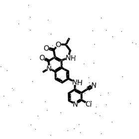 CC1CNc2c(c(=O)n(C)c3ccc(Nc4ccnc(Cl)c4C#N)cc23)C(=O)O1